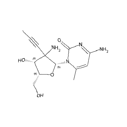 CC#CC1(N)[C@@H](O)[C@@H](CO)O[C@H]1n1c(C)cc(N)nc1=O